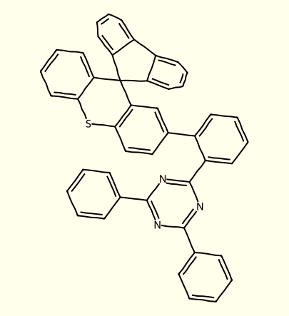 c1ccc(-c2nc(-c3ccccc3)nc(-c3ccccc3-c3ccc4c(c3)C3(c5ccccc5S4)c4ccccc4-c4ccccc43)n2)cc1